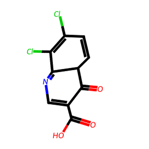 O=C(O)C1=CN=C2C(Cl)=C(Cl)C=CC2C1=O